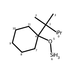 CC(C)C(C)(C)C1(O[SiH3])CCCCC1